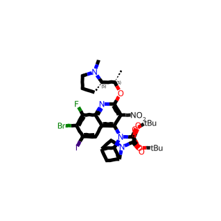 C[C@H](Oc1nc2c(F)c(Br)c(I)cc2c(N(C(=O)OC(C)(C)C)C2C3CC2N(C(=O)OC(C)(C)C)C3)c1[N+](=O)[O-])[C@@H]1CCCN1C